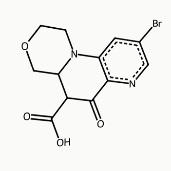 O=C(O)C1C(=O)c2ncc(Br)cc2N2CCOCC12